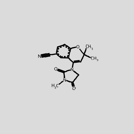 CN1C(=O)CN(C2=CC(C)(C)Oc3ccc(C#N)cc32)C1=O